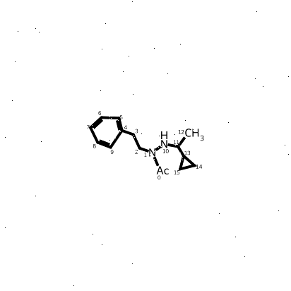 CC(=O)N(CCc1ccccc1)NC(C)C1CC1